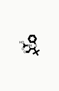 CC(C)(C)C(Sc1ccccc1)[C@@H](C=O)NC(=O)O